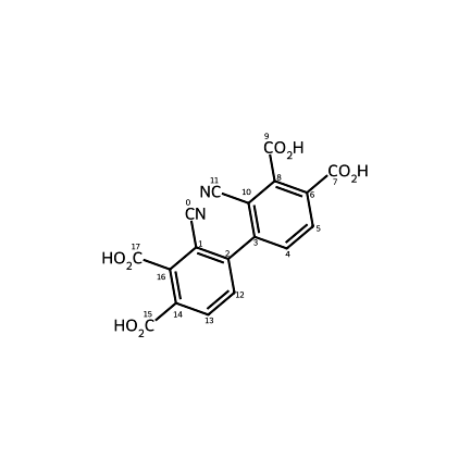 N#Cc1c(-c2ccc(C(=O)O)c(C(=O)O)c2C#N)ccc(C(=O)O)c1C(=O)O